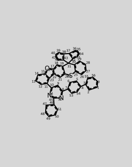 c1ccc(-c2ccc(-c3cc(-c4cccc5oc6cc7c(cc6c45)Sc4ccccc4C74c5ccccc5-c5ccccc54)nc(-c4ccccc4)n3)cc2)cc1